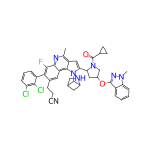 Cc1nc2c(F)c(-c3cccc(Cl)c3Cl)c(CCC#N)cc2c2c1cc(C1CC(Oc3nn(C)c4ccccc34)CN1C(=O)C1CC1)n2C1C2CNC1C2